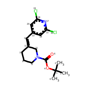 CC(C)(C)OC(=O)N1CCC/C(=C/c2cc(Cl)nc(Cl)c2)C1